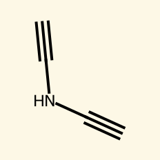 C#CNC#C